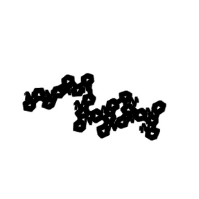 Cn1c2ccccc2c2c3c4cccc5c6cc7c(cc6n(c3ccc21)c54)c1cccc2c3c4c5ccccc5n(Cc5ccc6c8c9c%10cc%11c(cc%10n%10c%12ccccc%12c(cc8n(C)c6c5)c9%10)c5c6c8ccccc8n(C)c6cc6c8cc(-c9cccc%10c9c9cc%12c%13ccccc%13n%13c%14cc%15c%16c%17c(cc%18c%19ccccc%19n(c%15cc%14c(c9n%10C)c%12%13)c%18%16)c9ccccc9n%17C)ccc8n%11c65)c4ccc3n7c12